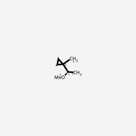 CO[C@H](C)C1(C)CC1